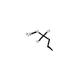 CCCC(Cl)(Cl)O[SiH3]